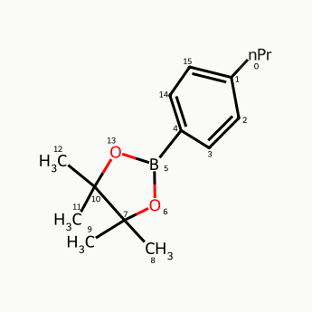 CCCc1ccc(B2OC(C)(C)C(C)(C)O2)cc1